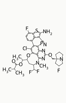 CC(C)C(=O)OC(C)C1CC(C(F)F)N(C)c2nc(OC[C@@]34CCCN3C[C@H](F)C4)nc3c(F)c(-c4ccc(F)c5sc(N)c(C#N)c45)c(Cl)c(c23)O1